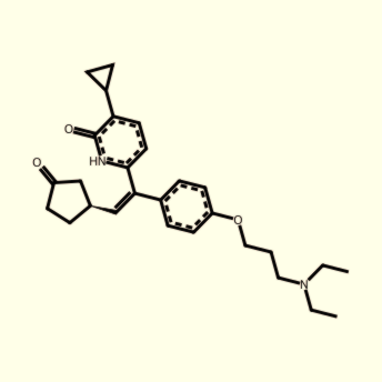 CCN(CC)CCCOc1ccc(/C(=C/[C@H]2CCC(=O)C2)c2ccc(C3CC3)c(=O)[nH]2)cc1